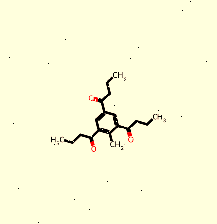 [CH2]c1c(C(=O)CCC)cc(C(=O)CCC)cc1C(=O)CCC